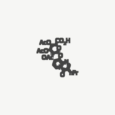 CCCc1cnc2c(O[C@@H]3OC(C(=O)O)[C@@H](OC(C)=O)C(OC(C)=O)[C@@H]3OC(C)=O)cccn2c1=O